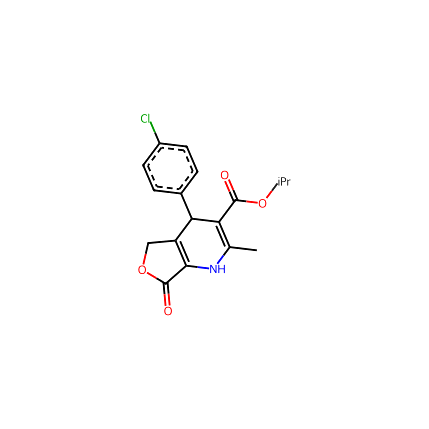 CC1=C(C(=O)OC(C)C)C(c2ccc(Cl)cc2)C2=C(N1)C(=O)OC2